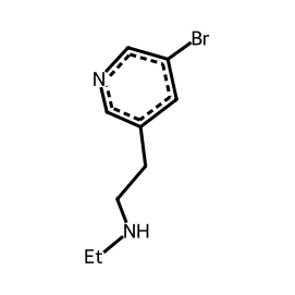 CCNCCc1cncc(Br)c1